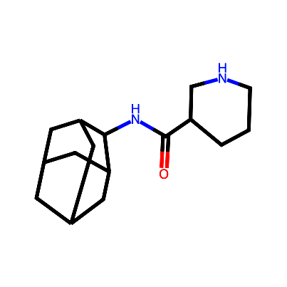 O=C(NC1C2CC3CC(C2)CC1C3)C1CCCNC1